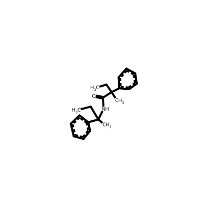 CCC(C)(NC(=O)C(C)(CC)c1ccccc1)c1ccccc1